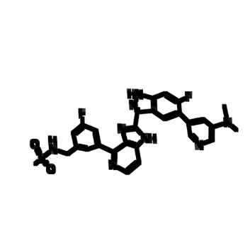 CN(C)c1cncc(-c2cc3c(-c4nc5c(-c6cc(F)cc(CNS(C)(=O)=O)c6)nccc5[nH]4)n[nH]c3cc2F)c1